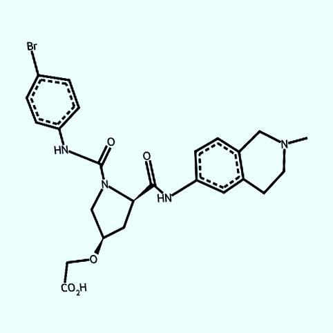 CN1CCc2cc(NC(=O)[C@H]3C[C@@H](OCC(=O)O)CN3C(=O)Nc3ccc(Br)cc3)ccc2C1